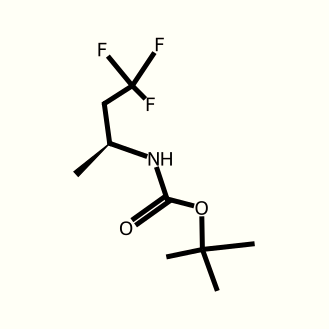 C[C@@H](CC(F)(F)F)NC(=O)OC(C)(C)C